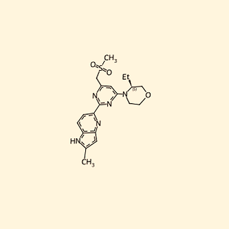 CC[C@H]1COCCN1c1cc(CS(C)(=O)=O)nc(-c2ccc3[nH]c(C)cc3n2)n1